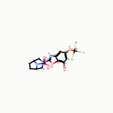 O=C(O)N1C2CCC1CN(c1nc3cc(OC(F)(F)F)cc(Br)c3o1)C2